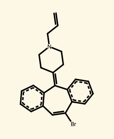 C=CCN1CCC(=C2c3ccccc3C=C(Br)c3ccccc32)CC1